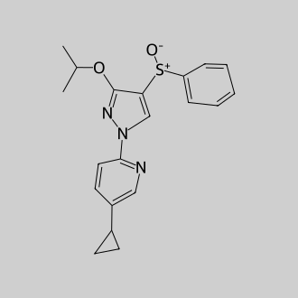 CC(C)Oc1nn(-c2ccc(C3CC3)cn2)cc1[S+]([O-])c1ccccc1